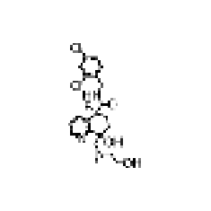 CN(CCO)C[C@@]1(O)CC[C@](F)(C(=O)NCc2ccc(Cl)cc2Cl)c2cccnc21